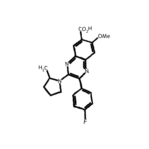 COc1cc2nc(-c3ccc(F)cc3)c(N3CCCC3C)nc2cc1C(=O)O